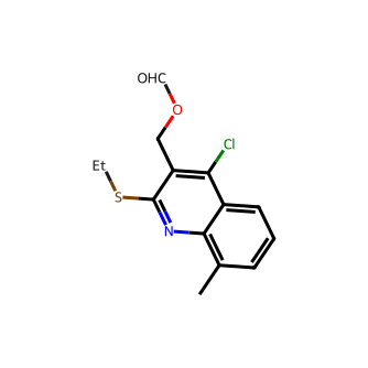 CCSc1nc2c(C)cccc2c(Cl)c1COC=O